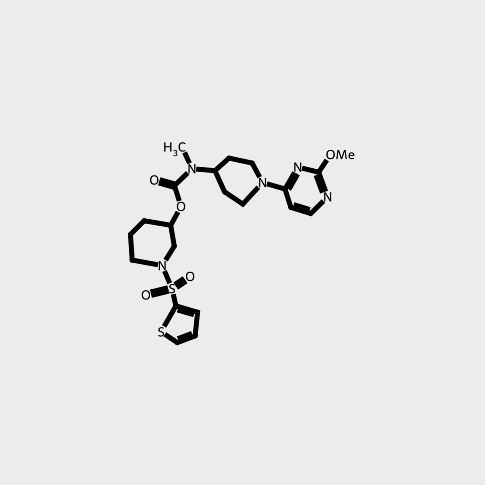 COc1nccc(N2CCC(N(C)C(=O)OC3CCCN(S(=O)(=O)c4cccs4)C3)CC2)n1